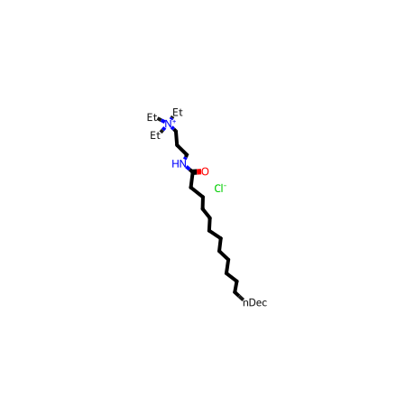 CCCCCCCCCCCCCCCCCCCCCC(=O)NCCC[N+](CC)(CC)CC.[Cl-]